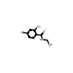 O=C(NCO)c1ccc(Cl)cc1Cl